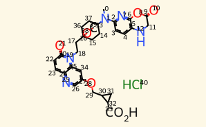 CN(c1ccc2c(n1)OC(=O)CN2)C12CCC(CCn3c(=O)ccc4ncc(OCC5CC5C(=O)O)cc43)(CC1)OC2.Cl